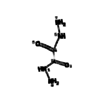 NNC(=O)C(=O)NN